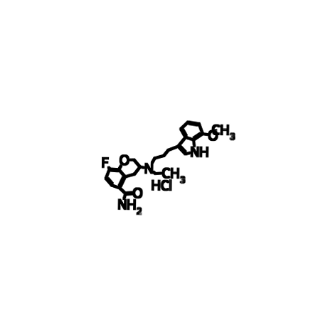 CCN(CCCc1c[nH]c2c(OC)cccc12)C1COc2c(F)ccc(C(N)=O)c2C1.Cl